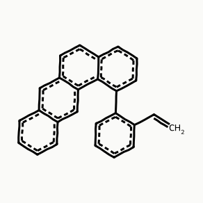 C=Cc1ccccc1-c1cccc2ccc3cc4ccccc4cc3c12